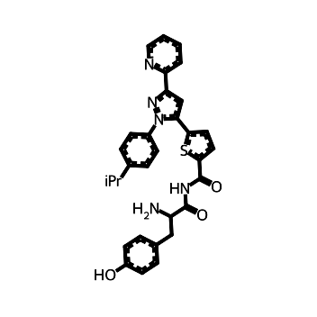 CC(C)c1ccc(-n2nc(-c3ccccn3)cc2-c2ccc(C(=O)NC(=O)C(N)Cc3ccc(O)cc3)s2)cc1